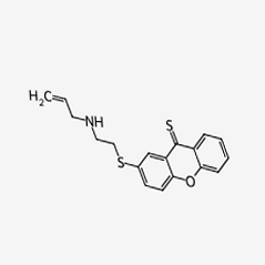 C=CCNCCSc1ccc2oc3ccccc3c(=S)c2c1